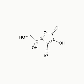 O=C1O[C@@H]([C@H](O)CO)C([O-])=C1O.[K+]